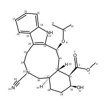 COC(=O)[C@@H]1[C@H]2C[C@H](OC(C)C)c3[nH]c4ccccc4c3CCN(C#N)C[C@@H]2CC[C@@H]1O